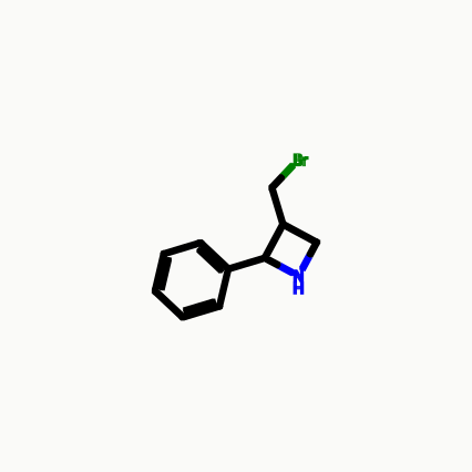 BrCC1CNC1c1ccccc1